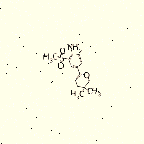 CC1(C)CC=C(c2ccc(N)c(S(C)(=O)=O)c2)OC1